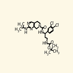 CC(C)Nc1ncc2c(n1)CN(C(=O)NC(CCNC(=O)OC(C)(C)C)c1ccc(Cl)c(Cl)c1)CC2